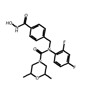 CC1CN(C(=O)N(Cc2ccc(C(=O)NO)cc2)c2ccc(F)cc2F)CC(C)O1